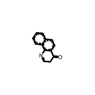 O=C1CC=Nc2c1ccc1ccccc21